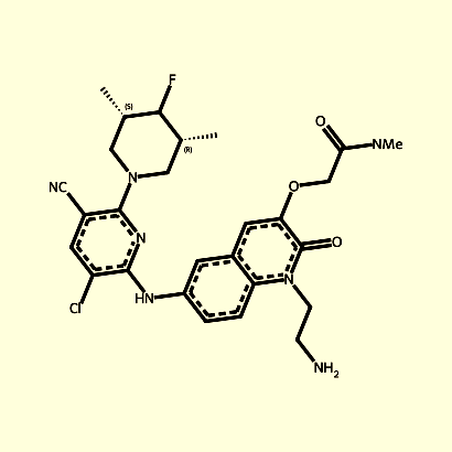 CNC(=O)COc1cc2cc(Nc3nc(N4C[C@@H](C)C(F)[C@@H](C)C4)c(C#N)cc3Cl)ccc2n(CCN)c1=O